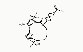 CC(=O)N1CC2(CC(N3CCCCCC(O)(C(F)(F)F)c4nnc(o4)-c4nc(c(C(F)(F)F)cc4N)C3=O)C2)C1